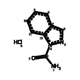 Cl.NC(=O)n1ncc2cc[c]cc21